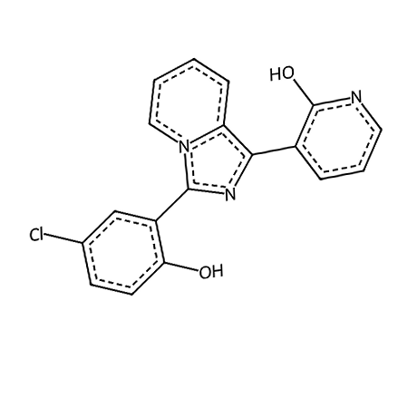 Oc1ccc(Cl)cc1-c1nc(-c2cccnc2O)c2ccccn12